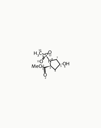 COC(=O)[C@@H]1C[C@@H](O)CN1S(C)(=O)=O